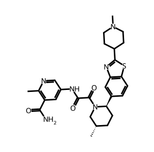 Cc1ncc(NC(=O)C(=O)N2C[C@@H](C)CC[C@@H]2c2ccc3sc(C4CCN(C)CC4)nc3c2)cc1C(N)=O